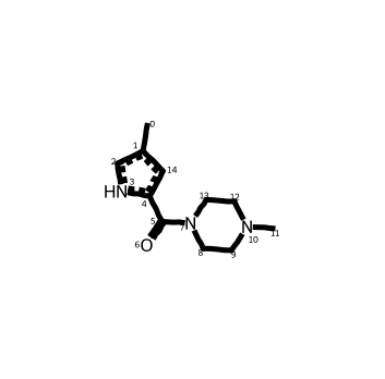 Cc1[c][nH]c(C(=O)N2CCN(C)CC2)c1